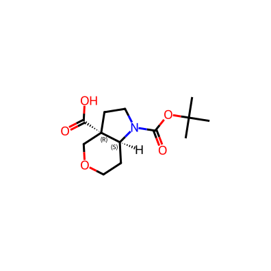 CC(C)(C)OC(=O)N1CC[C@]2(C(=O)O)COCC[C@H]12